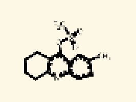 Cc1ccc2nc3c(c(OS(=O)(=O)C(F)(F)F)c2c1)CCCC3